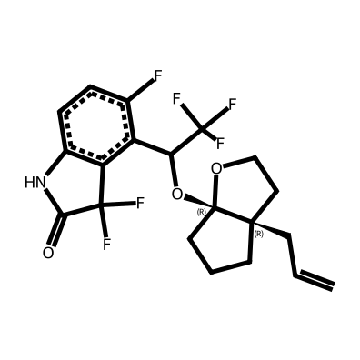 C=CC[C@@]12CCC[C@]1(OC(c1c(F)ccc3c1C(F)(F)C(=O)N3)C(F)(F)F)OCC2